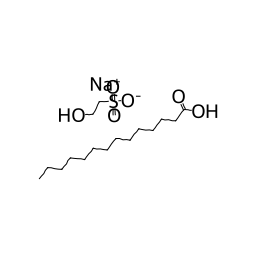 CCCCCCCCCCCCCC(=O)O.O=S(=O)([O-])CCO.[Na+]